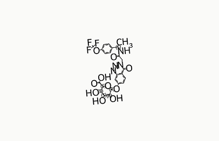 C[C@H](NC(=O)Cn1nnc2cc(O[C@H]3O[C@H](C(=O)O)[C@@H](O)[C@H](O)[C@H]3O)ccc2c1=O)c1ccc(OC(F)(F)F)cc1